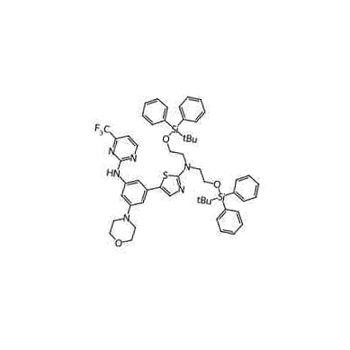 CC(C)(C)[Si](OCCN(CCO[Si](c1ccccc1)(c1ccccc1)C(C)(C)C)c1ncc(-c2cc(Nc3nccc(C(F)(F)F)n3)cc(N3CCOCC3)c2)s1)(c1ccccc1)c1ccccc1